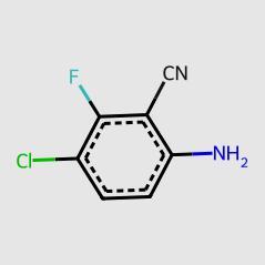 N#Cc1c(N)ccc(Cl)c1F